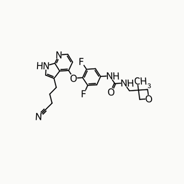 CC1(CNC(=O)Nc2cc(F)c(Oc3ccnc4[nH]cc(CCCC#N)c34)c(F)c2)COC1